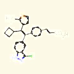 Cc1sccc1/C(=C(\c1ccc(/C=C/C(=O)O)cc1)c1ccc2[nH]nc(F)c2c1)C1CCC1